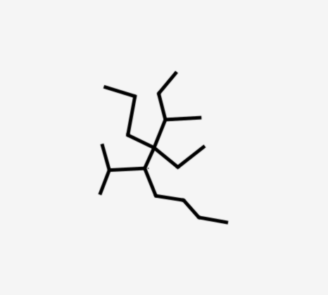 CCCC[C](C(C)C)C(CC)(CCC)C(C)CC